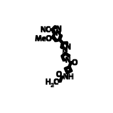 C=CC(=O)NC1CC(C(=O)N2CC[C@H](n3cc(-c4cc(OC)c5c(C#N)cnn5c4)cn3)C2)C1